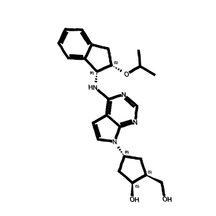 CC(C)O[C@H]1Cc2ccccc2[C@H]1Nc1ncnc2c1ccn2[C@@H]1C[C@@H](CO)[C@@H](O)C1